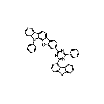 c1ccc(-c2nc(-c3ccc4c(c3)oc3c4ccc4c5ccccc5n(-c5ccccc5)c43)nc(-c3cccc4sc5ccccc5c34)n2)cc1